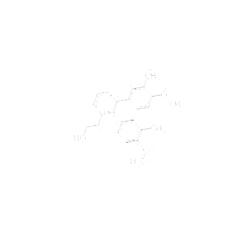 COc1ccc(-c2cc[c]c(CCO)c2-c2ccc(OC)c(C)c2)cc1C